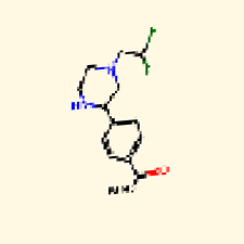 COC(=O)c1ccc(C2CN(CC(F)F)CCN2)cc1